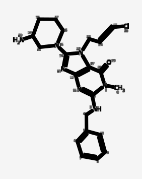 Cn1c(NCc2ccccc2)nc2nc(N3CCCC(N)C3)n(C/C=C/Cl)c2c1=O